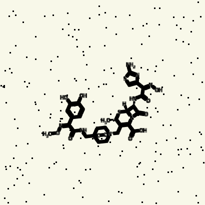 CO/N=C(\C(=O)NCC12CC[N+](CC3=C(C(=O)O)N4C(=O)[C@@H](NC(=O)/C(=N\O)c5csc(N)n5)[C@H]4S[C@H]3C)(CC1)CC2)c1ccc(O)c(O)c1